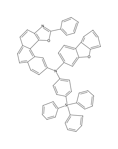 c1ccc(-c2nc3ccc4ccc5ccc(N(c6ccc([Si](c7ccccc7)(c7ccccc7)c7ccccc7)cc6)c6ccc7c(c6)oc6ccccc67)cc5c4c3o2)cc1